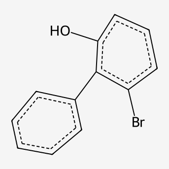 Oc1cccc(Br)c1-c1ccccc1